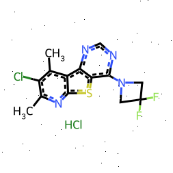 Cc1nc2sc3c(N4CC(F)(F)C4)ncnc3c2c(C)c1Cl.Cl